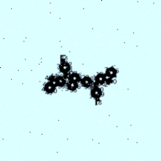 CC1(C)c2ccccc2-c2ccc(N(c3ccc(F)cc3)c3ccc(-c4ccc(N(c5ccc(F)cc5)c5ccc6c(c5)C(C)(C)c5ccccc5-6)c5ccccc45)cc3)cc21